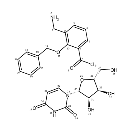 NCc1cccc(C(=O)Cl)c1OCc1ccccc1.O=c1ccn([C@@H]2O[C@H](CO)[C@@H](O)[C@H]2O)c(=O)[nH]1